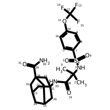 CC(C)(NS(=O)(=O)c1ccc(OC(F)(F)F)cc1)C(=O)NC12CC3CC(C1)CC(C(N)=O)(C3)C2